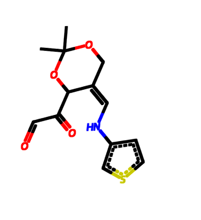 CC1(C)OCC(=CNc2ccsc2)C(C(=O)C=O)O1